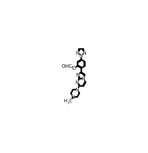 CN1CCN(c2ccn3cc(-c4ccc(-n5nccn5)cc4OC=O)nc3n2)CC1